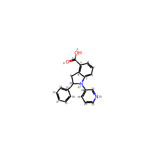 O=C(O)c1cccc2c1CC(c1ccccc1)N2c1cccnc1